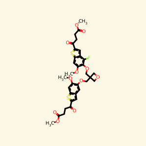 COC(=O)CCC(=O)c1cc2cc(OCC3(COc4c(OC)cc5sc(C(=O)CCC(=O)OC)cc5c4F)COC3)c(OC)cc2s1